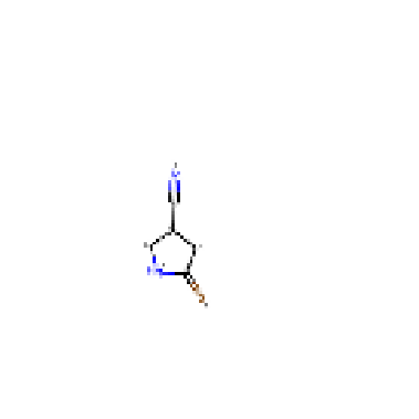 N#CC1CNC(=S)C1